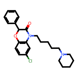 O=C1C(c2ccccc2)Oc2ccc(Cl)cc2N1CCCCCN1CCCCC1